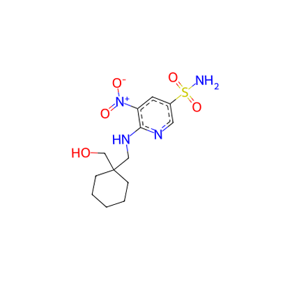 NS(=O)(=O)c1cnc(NCC2(CO)CCCCC2)c([N+](=O)[O-])c1